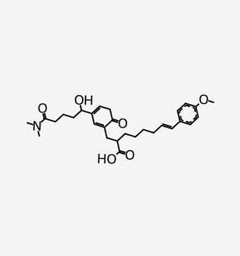 COc1ccc(/C=C/CCCCC(CC2=CC(C(O)CCCC(=O)N(C)C)=CCC2=O)C(=O)O)cc1